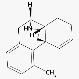 Cc1cccc2c1[C@@]13C=CCC[C@H]1[C@@H](C2)NCC3